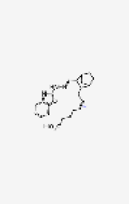 O=C(O)CCC/C=C\CC1C2CCC(C2)C1C=NNc1nc2ccccc2o1